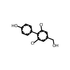 OCc1cc(Cl)c(-c2ccc(O)cc2)c(Cl)c1